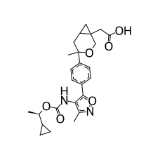 Cc1noc(-c2ccc(C3(C)CC4CC4(CC(=O)O)CO3)cc2)c1NC(=O)O[C@H](C)C1CC1